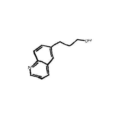 OCCCc1ccc2ncccc2c1